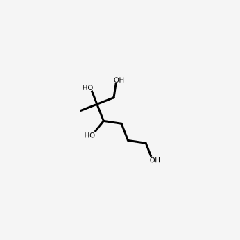 CC(O)(CO)C(O)CCCO